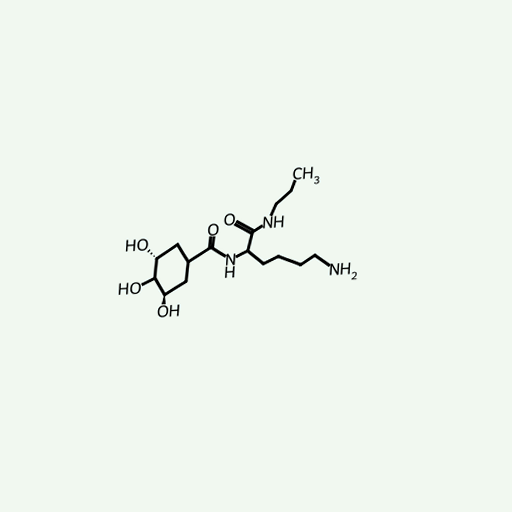 CCCNC(=O)C(CCCCN)NC(=O)C1C[C@@H](O)C(O)[C@H](O)C1